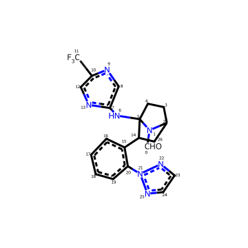 O=CN1C2CCC1(Nc1cnc(C(F)(F)F)cn1)C(c1ccccc1-n1nccn1)C2